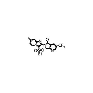 CCS(=O)(=O)c1c(N2Cc3ncc(C(F)(F)F)cc3C2=O)nc2cc(C)ccn12